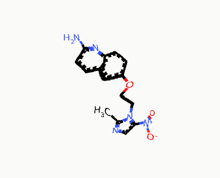 Cc1ncc([N+](=O)[O-])n1CCOc1ccc2nc(N)ccc2c1